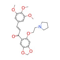 COc1cc(/C=C/C(=O)c2cc3c(cc2OCCN2CCCC2)OCO3)cc(OC)c1OC